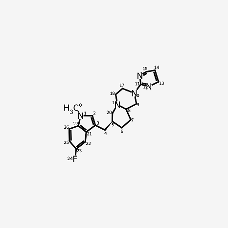 Cn1cc(C[C@@H]2CCC3CN(c4ncccn4)CCN3C2)c2cc(F)ccc21